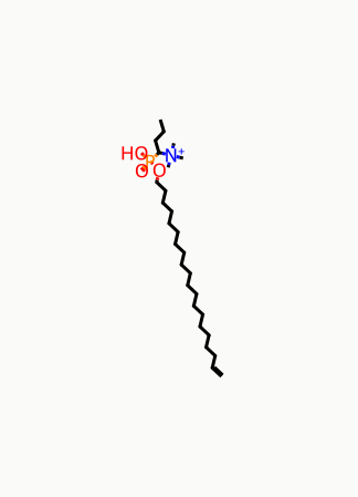 C=CCCCCCCCCCCCCCCCCCCOP(=O)(O)C(CCC)[N+](C)(C)C